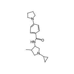 CC1CN(C2CC2)CC1NC(=O)c1ccc(N2CCCC2)cc1